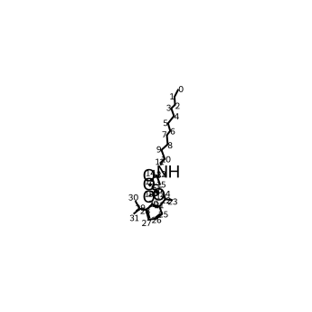 CCCCCCCCCCCCNC(=O)CS(=O)(=O)Oc1c(C(C)C)cccc1C(C)C